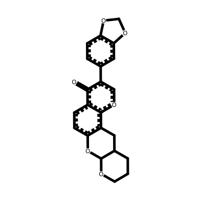 O=c1c(-c2ccc3c(c2)OCO3)coc2c3c(ccc12)OC1OCCCC1C3